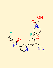 NCc1cc(-c2cc(NC(=O)[C@@H]3C[C@@H]3F)ccn2)ccc1O[C@H]1CCN(C(=O)CO)C[C@H]1F